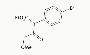 CCOC(=O)C(C(=O)COC)c1ccc(Br)cc1